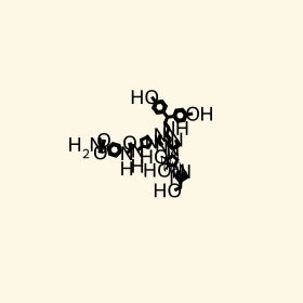 NS(=O)(=O)c1ccc(NC(=O)NC2CCN(c3nc(NCC(c4ccc(O)cc4)c4ccc(O)cc4)c4ncn([C@@H]5C[C@H](n6ncc(CO)n6)[C@@H](O)[C@H]5O)c4n3)C2)cc1